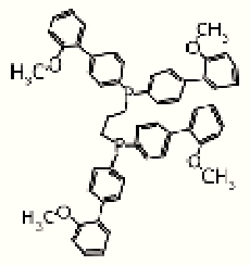 COc1ccccc1-c1ccc(P(CCCP(c2ccc(-c3ccccc3OC)cc2)c2ccc(-c3ccccc3OC)cc2)c2ccc(-c3ccccc3OC)cc2)cc1